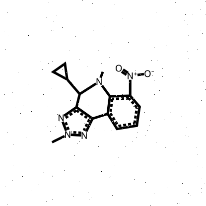 CN1c2c(cccc2[N+](=O)[O-])-c2nn(C)nc2C1C1CC1